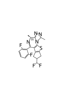 Cc1nnc2n1-c1sc3c(c1C(c1c(F)cccc1F)=N[C@H]2C)CC(C(F)F)C3